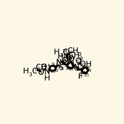 CC(C)OC(=O)NC1CCC(c2ncc(-c3ccc(N(Cc4ccccc4F)C(=O)O)cc3S(=O)(=O)NC(C)(C)C)s2)CC1